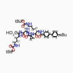 CCCCc1ccc(-c2ccc(C(=O)N[C@@H](CCCCNC(=O)OC(C)(C)C)C(=O)NC3(C(=O)N[C@@H](C)C(=O)N[C@@H](CCCCNC(=O)OC(C)(C)C)C(=O)O)CC3)cc2)cc1